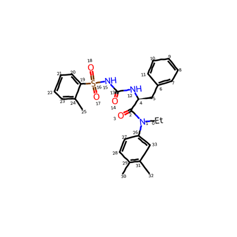 CCN(C(=O)[C@H](Cc1ccccc1)NC(=O)NS(=O)(=O)c1ccccc1C)c1ccc(C)c(C)c1